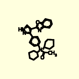 CC(=O)[N+](c1ccc(-c2n[nH]cc2-c2nc3ccccc3o2)cc1)(C1CCCCC1)C1CCCCC1